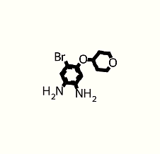 Nc1cc(Br)c(OC2CCOCC2)cc1N